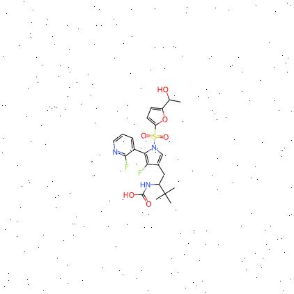 CC(O)c1ccc(S(=O)(=O)n2cc(CC(NC(=O)O)C(C)(C)C)c(F)c2-c2cccnc2F)o1